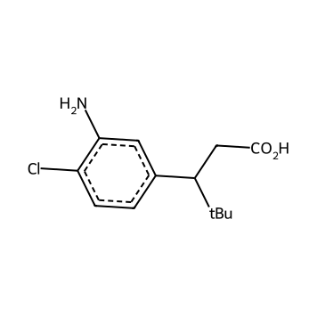 CC(C)(C)C(CC(=O)O)c1ccc(Cl)c(N)c1